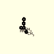 Cc1ccc(Nc2ccc(-c3ccc(-c4ccccc4)cc3)c3ccccc23)c(C)c1